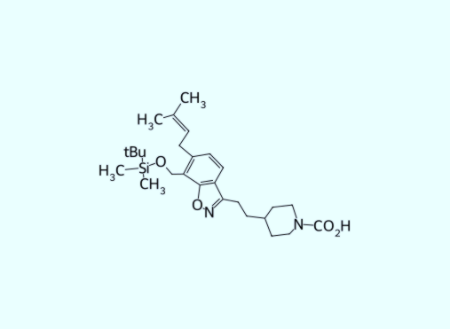 CC(C)=CCc1ccc2c(CCC3CCN(C(=O)O)CC3)noc2c1CO[Si](C)(C)C(C)(C)C